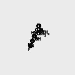 Cc1cc(-c2ccccc2)c(C(=O)C(=O)Nc2ccc(N3CCN(c4ncc(F)cn4)CC3)c(O)c2)n1C